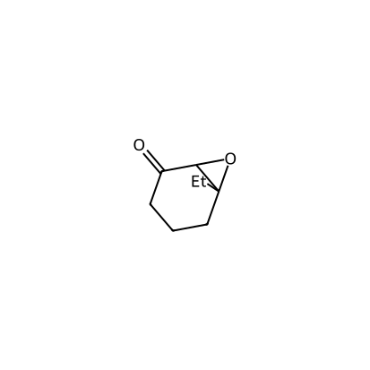 CCC12CCCC(=O)C1O2